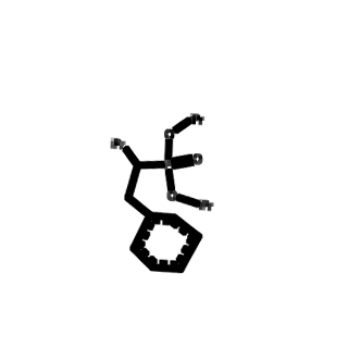 CC(C)OP(=O)(OC(C)C)C(Cc1ccccc1)C(C)C